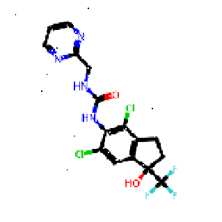 O=C(NCc1ncccn1)Nc1c(Cl)cc2c(c1Cl)CCC2(O)C(F)(F)F